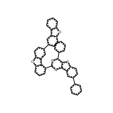 c1ccc(-c2ccc3sc4c(-c5ccccc5)nc(-c5cccc6oc7ccc(-c8ccc9oc%10ccccc%10c9c8)cc7c56)nc4c3c2)cc1